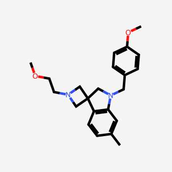 COCCN1CC2(C1)CN(Cc1ccc(OC)cc1)c1cc(C)ccc12